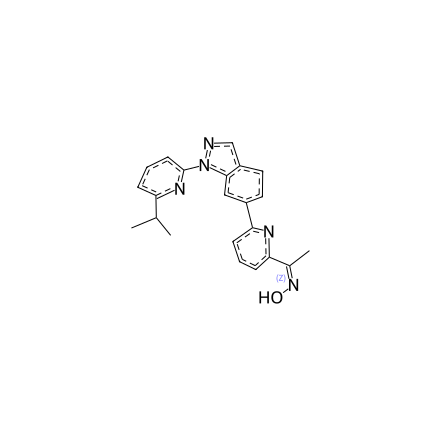 C/C(=N/O)c1cccc(-c2ccc3cnn(-c4cccc(C(C)C)n4)c3c2)n1